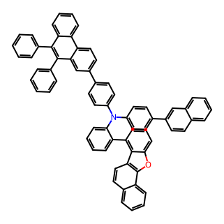 c1ccc(-c2c(-c3ccccc3)c3cc(-c4ccc(N(c5ccc(-c6ccc7ccccc7c6)cc5)c5ccccc5-c5cccc6oc7c8ccccc8ccc7c56)cc4)ccc3c3ccccc23)cc1